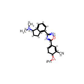 CC(C)OC1CC=C(c2nc(-c3cccc4c3CCC4N(C)C)no2)C=C1C#N